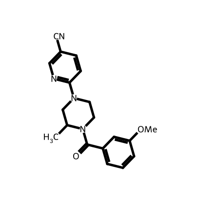 COc1cccc(C(=O)N2CCN(c3ccc(C#N)cn3)CC2C)c1